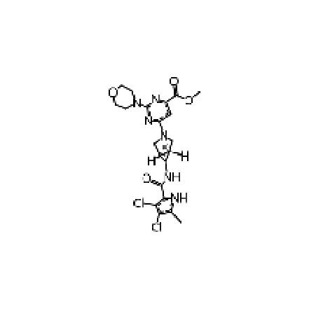 COC(=O)c1cc(N2C[C@@H]3C(NC(=O)c4[nH]c(C)c(Cl)c4Cl)[C@@H]3C2)nc(N2CCOCC2)n1